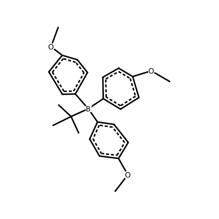 COc1ccc([B-](c2ccc(OC)cc2)(c2ccc(OC)cc2)C(C)(C)C)cc1